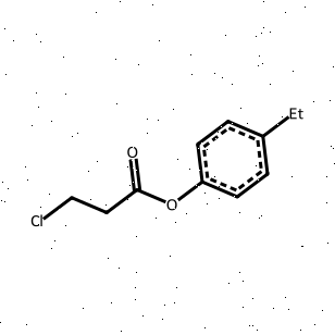 CCc1ccc(OC(=O)CCCl)cc1